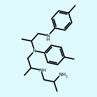 Cc1ccc(NCC(C)N(CC(C)NCC(C)N)c2ccc(C)cc2)cc1